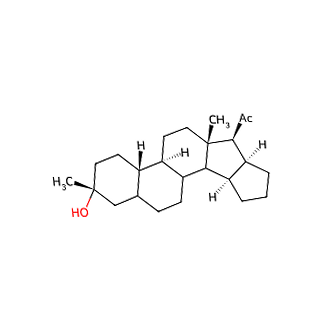 CC(=O)[C@H]1[C@H]2CCC[C@H]2C2C3CCC4C[C@](C)(O)CC[C@@H]4[C@H]3CC[C@@]21C